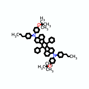 CCCc1ccc(N(c2ccc(OC(C)(C)C)cc2)c2ccc3c4c(-c5ccccc5)c5c6cccc7c(N(c8ccc(CCC)cc8)c8ccc(OC(C)(C)C)cc8)ccc(c5c(-c5ccccc5)c4c4cccc2c43)c76)cc1